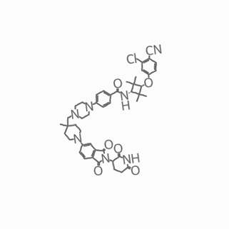 CC1(CN2CCN(c3ccc(C(=O)N[C@H]4C(C)(C)[C@H](Oc5ccc(C#N)c(Cl)c5)C4(C)C)cc3)CC2)CCN(c2ccc3c(c2)C(=O)N(C2CCC(=O)NC2=O)C3=O)CC1